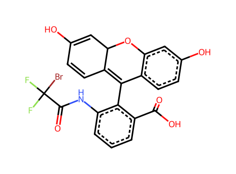 O=C(O)c1cccc(NC(=O)C(F)(F)Br)c1C1=C2C=CC(O)=CC2Oc2cc(O)ccc21